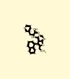 CCc1sc2ncnc(NC(Cc3cccnc3)C(=O)O)c2c1-c1cccc2ccccc12